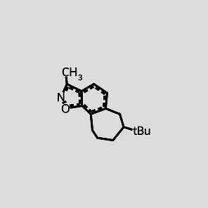 Cc1noc2c3c(ccc12)CC(C(C)(C)C)CCC3